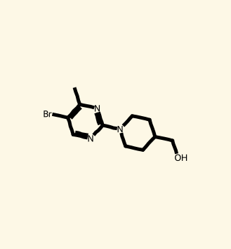 Cc1nc(N2CCC(CO)CC2)ncc1Br